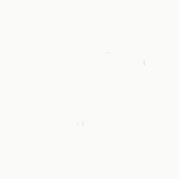 C=C(c1ccccc1)c1ccc(C)c(C)c1